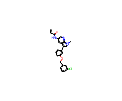 C=CC(=O)Nc1cnc2c(c1)c(-c1cccc(OCc3cccc(Cl)c3)c1)cn2C